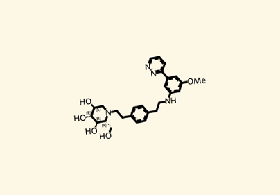 COc1cc(NCCc2ccc(CCN3C[C@H](O)[C@@H](O)[C@H](O)[C@H]3CO)cc2)cc(-c2cccnn2)c1